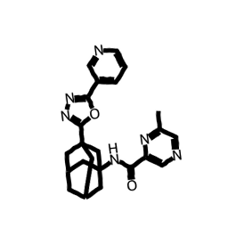 Cc1cncc(C(=O)NC23CC4CC(C2)CC(c2nnc(-c5cccnc5)o2)(C4)C3)n1